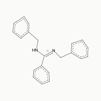 c1ccc(C/N=C(/NCc2ccccc2)c2ccccc2)cc1